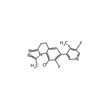 Cc1c(F)cncc1-c1cc2c(c(Cl)c1F)-n1c(C)nnc1CC2